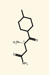 CC1CCC(C(=O)[C@@H](N)CC(N)=O)CC1